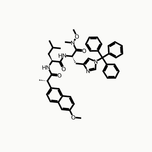 COc1ccc2cc([C@H](C)C(=O)N[C@@H](CC(C)C)C(=O)N[C@@H](Cc3cn(C(c4ccccc4)(c4ccccc4)c4ccccc4)cn3)C(=O)N(C)OC)ccc2c1